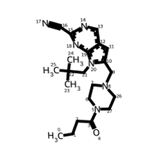 CCCC(=O)N1CCN(Cc2cc3cnc(C#N)nc3n2CC(C)(C)C)CC1